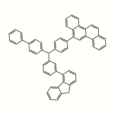 c1ccc(-c2ccc(N(c3ccc(-c4cc5c6ccccc6ccc5c5ccccc45)cc3)c3cccc(-c4cccc5sc6ccccc6c45)c3)cc2)cc1